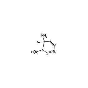 CC1(N)C=CN=CC1N